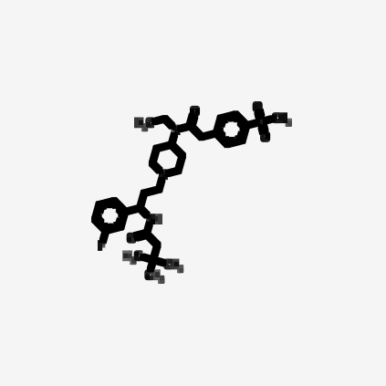 CCN(C(=O)Cc1ccc(S(C)(=O)=O)cc1)C1CCN(CCC(NC(=O)CC(C)(C)C)c2cccc(F)c2)CC1